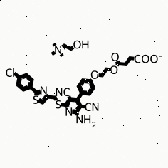 C[N+](C)(C)CCO.N#Cc1c(N)nc(SCc2csc(-c3ccc(Cl)cc3)n2)c(C#N)c1-c1ccc(OCCOC(=O)CCC(=O)[O-])cc1